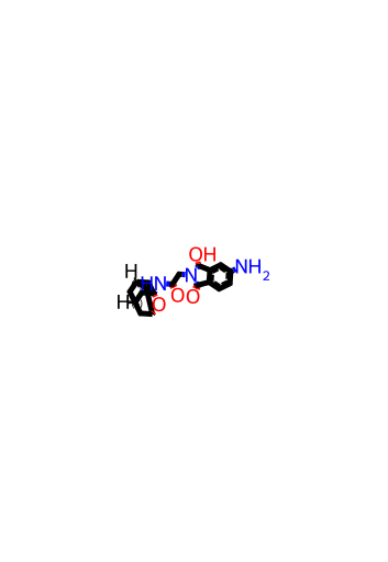 Nc1ccc2c(c1)C(O)N(CC(=O)NC13C[C@@H]4CC(C[C@@H](C4)C1)O3)C2=O